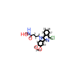 O=C(CCCn1c2cc3c(cc2c2nc(Cl)c4ccccc4c21)OCO3)NO